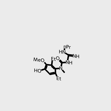 CCCNC(=N)NC(=O)N(C)c1c(CC)cc(O)c(OC)c1CC